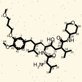 COCCCOc1cc(CC(C[C@H](NC(=O)[C@@H](N)C(C)C)C(O)CC(C(=O)NC2CCOCC2)C(C)C)C(C)C)ccc1OC